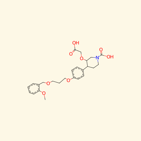 COc1ccccc1COCCCOc1ccc(C2CCN(C(=O)O)CC2OCC(=O)O)cc1